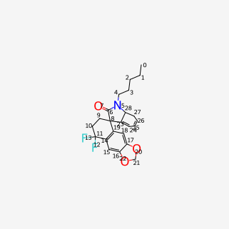 CCCCCN1C(=O)C2(CCC(F)(F)c3cc4c(cc32)OCO4)C2=CC=CCC21